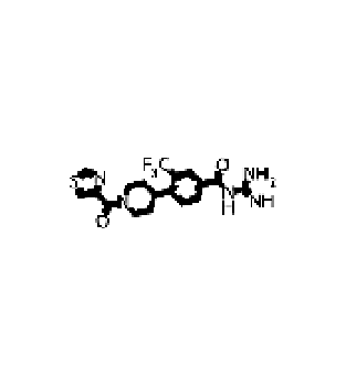 N=C(N)NC(=O)c1ccc(C2CCN(C(=O)c3cscn3)CC2)c(C(F)(F)F)c1